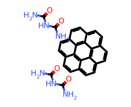 NC(=O)NC(N)=O.NC(=O)NC(N)=O.c1cc2ccc3ccc4ccc5ccc6ccc1c1c2c3c4c5c61